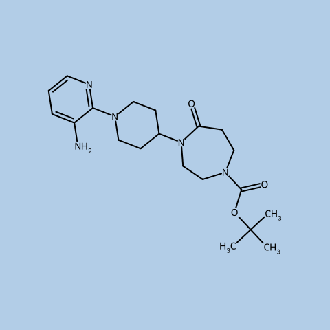 CC(C)(C)OC(=O)N1CCC(=O)N(C2CCN(c3ncccc3N)CC2)CC1